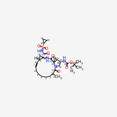 C[C@H]1CCCCC/C=C\[C@@H]2C[C@@]2(C(=O)NS(=O)(=O)C2CC2)NC(=O)[C@@H]2C[C@@H](NC(=O)OC(C)(C)C)CN2C1=O